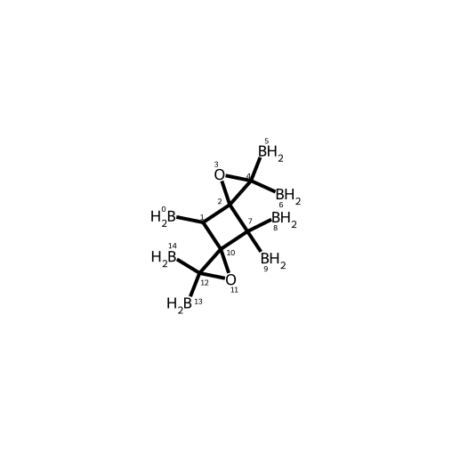 BC1C2(OC2(B)B)C(B)(B)C12OC2(B)B